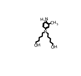 Cc1cc(N(CCCCCO)CCCCCO)ccc1N